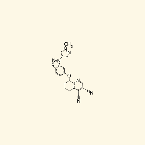 Cn1cc(-n2ncc3ccc(OC4CCCc5c4ncc(C#N)c5C#N)cc32)cn1